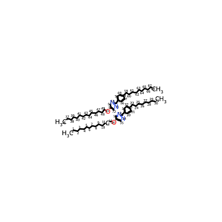 CCCCCCCCCCCCCCOc1cnc(-c2ccc(CCCCCCCCC)cc2)nc1.CCCCCCCCCCCCCCOc1cnc(-c2ccc(CCCCCCCCCC)cc2)nc1